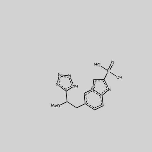 COC(Cc1ccc2nc(P(=O)(O)O)cn2c1)c1nnn[nH]1